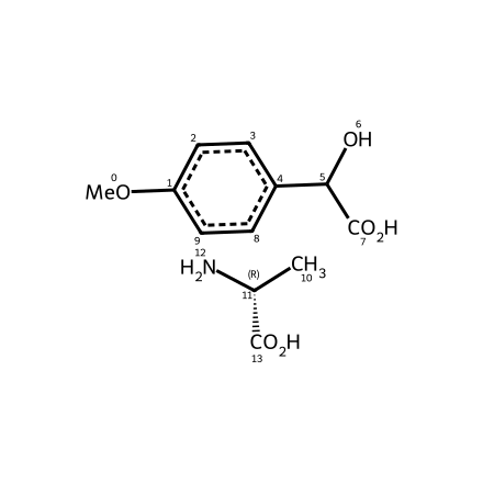 COc1ccc(C(O)C(=O)O)cc1.C[C@@H](N)C(=O)O